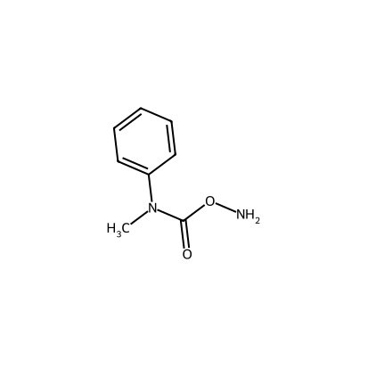 CN(C(=O)ON)c1ccccc1